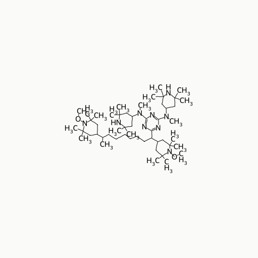 CON1C(C)(C)CC(C(C)CCCCCCC(c2nc(N(C)C3CC(C)(C)NC(C)(C)C3)nc(N(C)C3CC(C)(C)NC(C)(C)C3)n2)C2CC(C)(C)N(OC)C(C)(C)C2)CC1(C)C